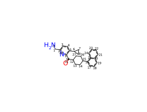 NCc1ccc(C2CC2)c(C(=O)C2CCC(c3cccc4ccccc34)CC2)n1